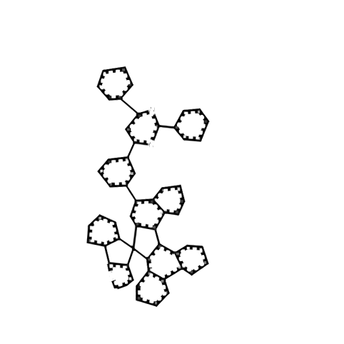 c1ccc(-c2cc(-c3cccc(-c4cc5c(c6ccccc46)-c4c(c6ccccc6c6ccccc46)C54c5ccccc5-c5ccccc54)c3)nc(-c3ccccc3)n2)cc1